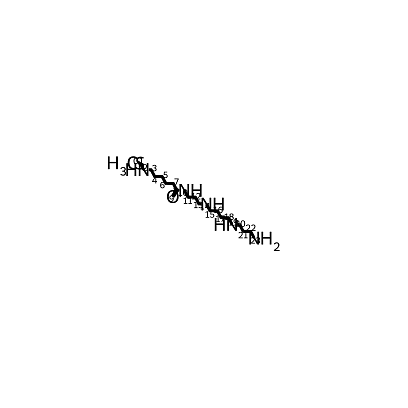 CSNCCCCCC(=O)NCCCNCCCCNCCCN